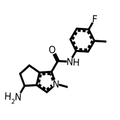 Cc1cc(NC(=O)c2c3c(cn2C)C(N)CC3)ccc1F